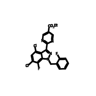 CCOC(=O)c1cnc(-c2nn(Cc3ccccc3F)c3c(F)c(Cl)cc(Cl)c23)nc1